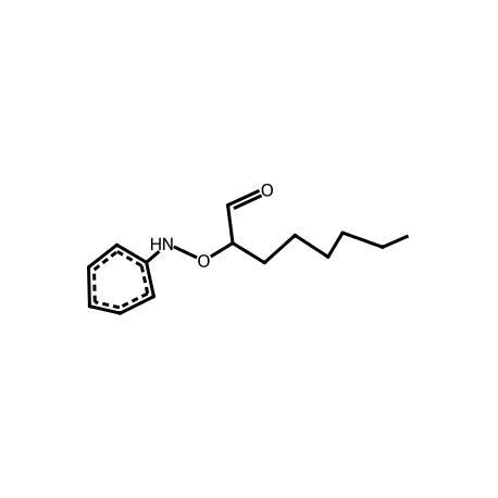 CCCCCCC(C=O)ONc1ccccc1